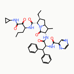 CCCC(NC(=O)[C@@H]1[C@@H](CC)CC2C(C)[C@H](NC(=O)[C@@H](NC(=O)c3cnccn3)C(c3ccccc3)c3ccccc3)C(=O)N21)C(=O)C(=O)NC1CC1